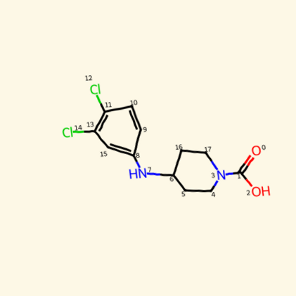 O=C(O)N1CCC(Nc2ccc(Cl)c(Cl)c2)CC1